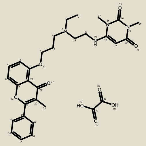 CCN(CCCOc1cccc2oc(-c3ccccc3)c(C)c(=O)c12)CCNc1cc(=O)n(C)c(=O)n1C.O=C(O)C(=O)O